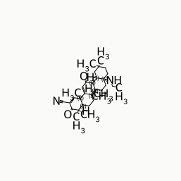 CCN[C@]12CCC(C)(C)C[C@H]1[C@H]1C(=O)C=C3[C@@]4(C)C=C(C#N)C(=O)C(C)(C)[C@@H]4CC[C@@]3(C)[C@]1(C)CC2